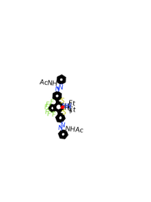 CC(=O)Nc1ccccc1N=Nc1ccc2c(C3=C(c4c(C)sc5cc(N=Nc6ccccc6NC(C)=O)ccc45)C(F)(F)C(F)(F)C3(F)F)c(C)sc2c1.CCNCC